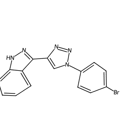 Brc1ccc(-n2cc(-c3n[nH]c4ccccc34)nn2)cc1